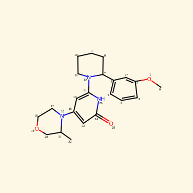 COc1cccc(C2CCCCN2c2cc(N3CCOCC3C)cc(=O)[nH]2)c1